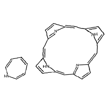 C1=CC=CNC=C1.C1=Cc2cc3ccc(cc4nc(cc5ccc(cc1n2)[nH]5)C=C4)[nH]3